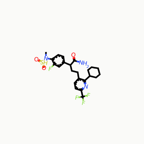 CN(c1ccc(C(CCc2ccc(C(F)(F)F)nc2C2CCCCC2)C(N)=O)cc1F)[SH](=O)=O